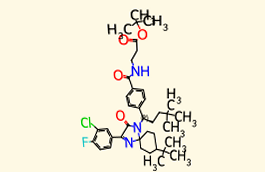 CC(C)(C)CC[C@H](c1ccc(C(=O)NCCC(=O)OC(C)(C)C)cc1)N1C(=O)C(c2ccc(F)c(Cl)c2)=NC12CCC(C(C)(C)C)CC2